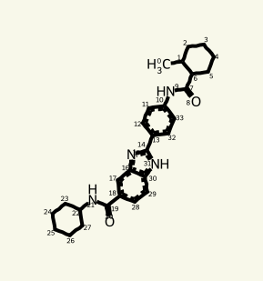 CC1CCCCC1C(=O)Nc1ccc(-c2nc3cc(C(=O)NC4CCCCC4)ccc3[nH]2)cc1